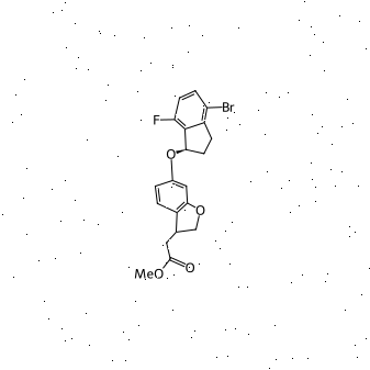 COC(=O)CC1COc2cc(O[C@@H]3CCc4c(Br)ccc(F)c43)ccc21